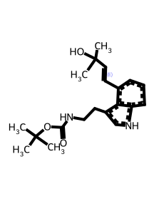 CC(C)(O)/C=C/c1cccc2[nH]cc(CCNC(=O)OC(C)(C)C)c12